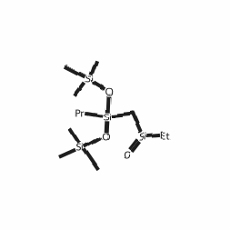 CC[Si](=O)C[Si](O[Si](C)(C)C)(O[Si](C)(C)C)C(C)C